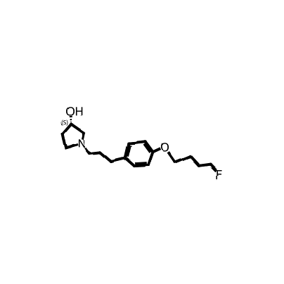 O[C@H]1CCN(CCCc2ccc(OCCCCF)cc2)C1